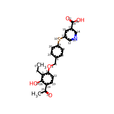 CCc1c(OCc2ccc(Sc3cncc(C(=O)O)c3)cc2)ccc(C(C)=O)c1O